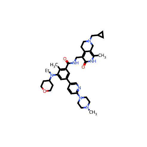 CCN(c1cc(-c2ccc(N3CCN(C)CC3)nc2)cc(C(=O)NCc2c3c(c(C)[nH]c2=O)CN(CC2CC2)CC3)c1C)C1CCOCC1